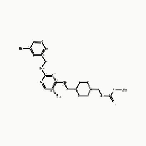 CC(C)(C)OC(=O)NCC1CCC(CNc2nc(NCc3cccc(Br)c3)ncc2[N+](=O)[O-])CC1